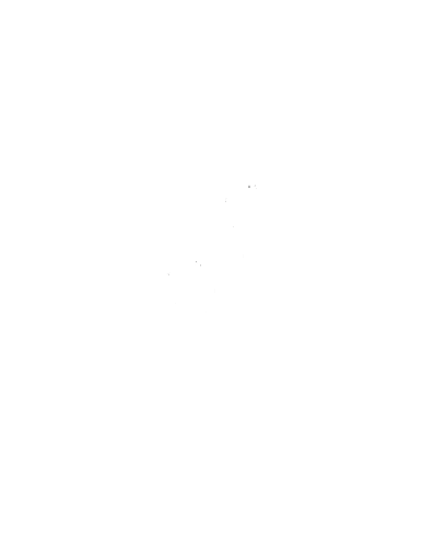 CC(C)CC(CN1C(=O)c2ccccc2C1=O)(C(=O)O)C(=O)O